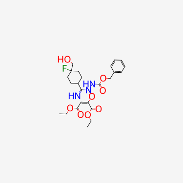 CCOC(=O)C=C(ON(NC(=O)OCc1ccccc1)C(=N)C1CCC(F)(CO)CC1)C(=O)OCC